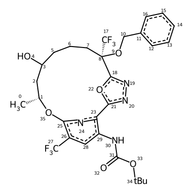 C[C@@H]1CC(O)CCC[C@](OCc2ccccc2)(C(F)(F)F)c2nnc(o2)-c2nc(c(C(F)(F)F)cc2NC(=O)OC(C)(C)C)O1